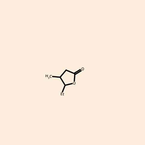 CCC1OC(=O)CC1C